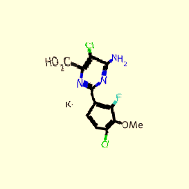 COc1c(Cl)ccc(-c2nc(N)c(Cl)c(C(=O)O)n2)c1F.[K]